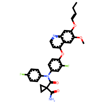 CCC=COc1cc2nccc(Oc3ccc(N(C(=O)C4(C(N)=O)CC4)c4ccc(F)cc4)cc3F)c2cc1OC